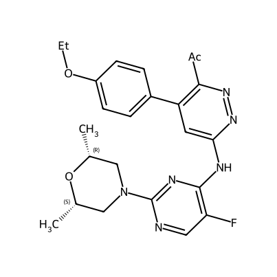 CCOc1ccc(-c2cc(Nc3nc(N4C[C@@H](C)O[C@@H](C)C4)ncc3F)nnc2C(C)=O)cc1